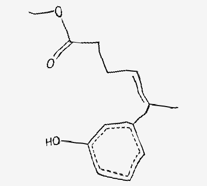 COC(=O)CC/C=C(/C)c1cccc(O)c1